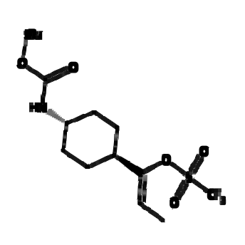 CC=C(OS(=O)(=O)C(F)(F)F)[C@H]1CC[C@H](NC(=O)OC(C)(C)C)CC1